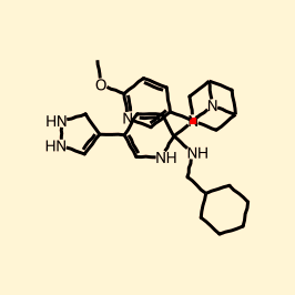 COc1ccc(CN2C3CC2CN(C2(NCC4CCCCC4)C=CC(C4=CNNC4)=CN2)C3)cn1